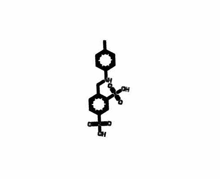 Cc1ccc(NCc2ccc(S(=O)(=O)O)cc2S(=O)(=O)O)cc1